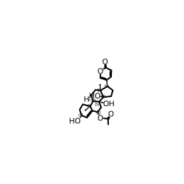 CC(=O)O[C@@H]1C[C@]2(O)[C@H](CC[C@]3(C)[C@@H](c4ccc(=O)oc4)CC[C@@]32O)[C@@]2(C)CC[C@H](O)C=C12